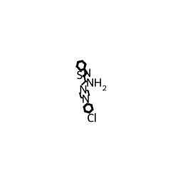 NC(CN1CCN(c2ccc(Cl)cc2)CC1)c1nc2ccccc2s1